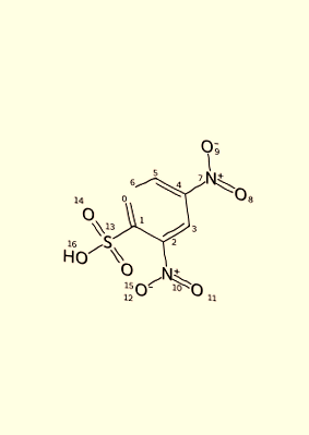 C=C(/C(=C\C(=C/C)[N+](=O)[O-])[N+](=O)[O-])S(=O)(=O)O